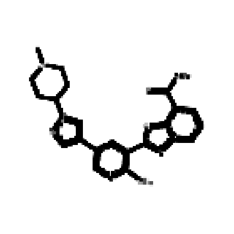 CNC(=O)c1cccc2nc(-c3cc(-c4cnn(C5CCN(C)CC5)c4)cnc3N)oc12